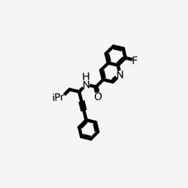 CC(C)CC(C#Cc1ccccc1)NC(=O)c1cnc2c(F)cccc2c1